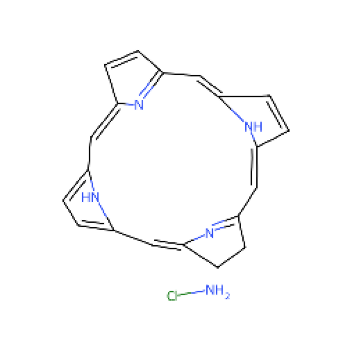 C1=Cc2cc3ccc(cc4nc(cc5ccc(cc1n2)[nH]5)CC4)[nH]3.NCl